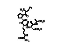 CC(C)C[C@H](N)C(=O)N1CCC[C@H]1C(=O)N[C@@H](CCCNC(=N)N)C(=O)N[C@@H](CC(=O)O)C(=O)N[C@@H](C)C(=O)O